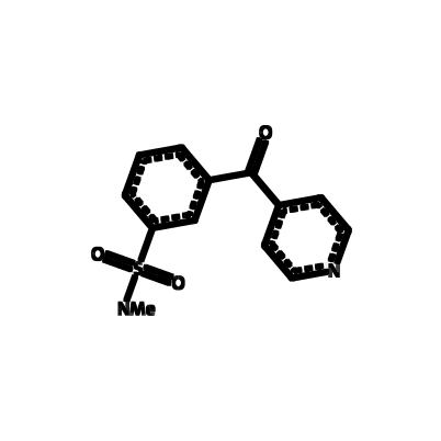 CNS(=O)(=O)c1cccc(C(=O)c2ccncc2)c1